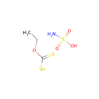 CCOC(=S)S.NS(=O)(=O)O